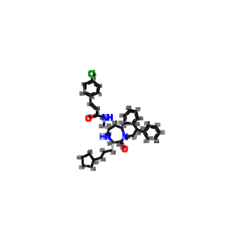 O=C(/C=C/c1ccc(Cl)cc1)NC[C@@H]1CCN(CC(c2ccccc2)c2ccccc2)C(=O)[C@H](CCCC2CCCC2)N1